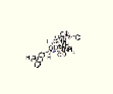 COc1ccc(CNC(=O)/C=C/C(=O)N(C(N)=O)N(C)C(=O)[C@H](C)NC(=O)[C@H](C)NC(=O)OCc2ccccc2)cc1Cc1ccccc1